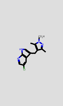 Cc1nn(C(=O)O)c(C)c1Cc1c[nH]c2ncc(Cl)cc12